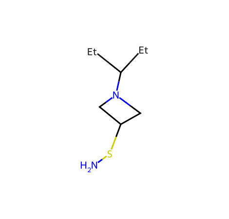 CCC(CC)N1CC(SN)C1